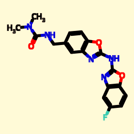 CN(C)C(=O)NCc1ccc2oc(Nc3nc4cc(F)ccc4o3)nc2c1